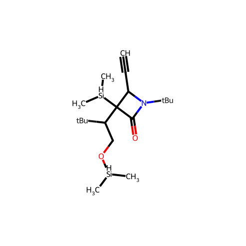 C#CC1N(C(C)(C)C)C(=O)C1(C(CO[SiH](C)C)C(C)(C)C)[SiH](C)C